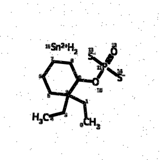 CCC1(CC)CCCCC1OP(=O)([S-])[S-].[SnH2+2]